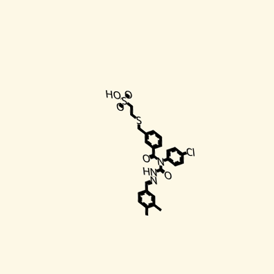 Cc1ccc(C=NNC(=O)N(C(=O)c2cccc(CSCCS(=O)(=O)O)c2)c2ccc(Cl)cc2)cc1C